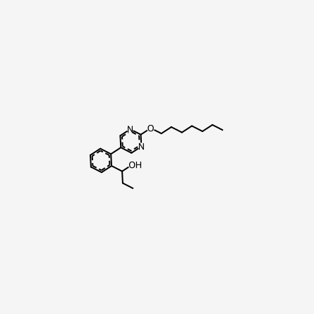 CCCCCCCOc1ncc(-c2ccccc2C(O)CC)cn1